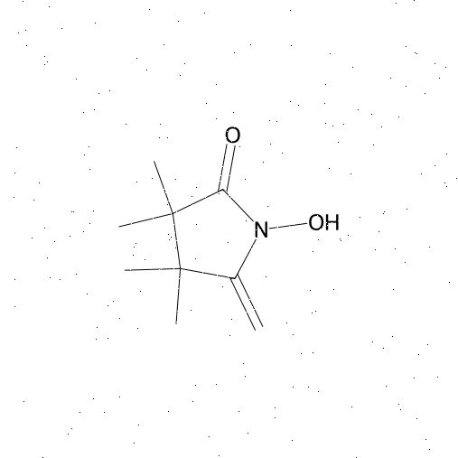 C=C1N(O)C(=O)C(C)(C)C1(C)C